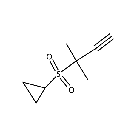 C#CC(C)(C)S(=O)(=O)C1CC1